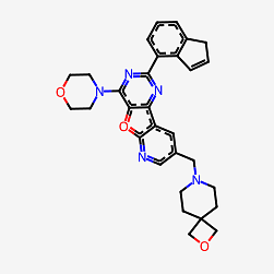 C1=Cc2c(cccc2-c2nc(N3CCOCC3)c3oc4ncc(CN5CCC6(CC5)COC6)cc4c3n2)C1